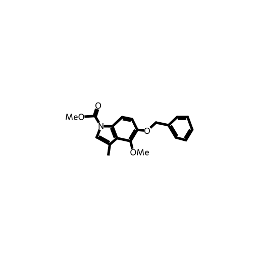 COC(=O)n1cc(C)c2c(OC)c(OCc3ccccc3)ccc21